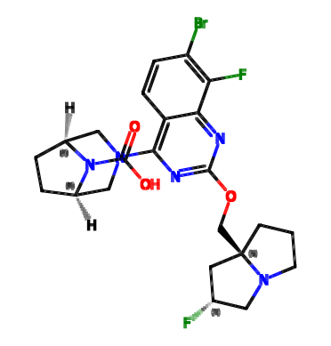 O=C(O)N1[C@@H]2CC[C@H]1CN(c1nc(OC[C@@]34CCCN3C[C@H](F)C4)nc3c(F)c(Br)ccc13)C2